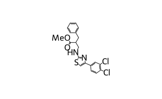 COC(=O)C(CNc1nc(-c2ccc(Cl)c(Cl)c2)cs1)Cc1ccccc1